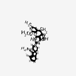 C=C(c1cc(C)nc(OC)c1)c1n[nH]c2nc(N3CCC4(CC3)Cc3ccccc3[C@H]4N)[nH]c(=O)c12